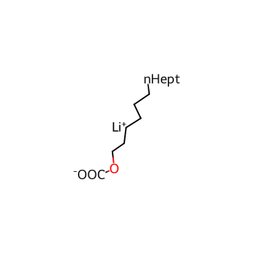 CCCCCCCCCCCCCOC(=O)[O-].[Li+]